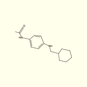 CC(=O)Nc1ccc(NCC2CCCCC2)cc1